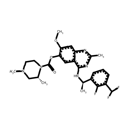 COc1cc2nc(C)nc(N[C@H](C)c3cccc(C(F)F)c3F)c2cc1OC(=O)N1CCN(C)C[C@H]1C